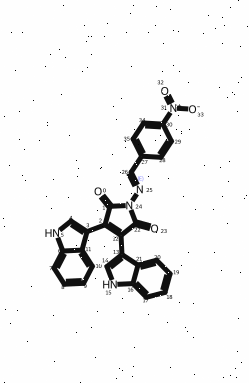 O=C1C(c2c[nH]c3ccccc23)=C(c2c[nH]c3ccccc23)C(=O)N1/N=C/c1ccc([N+](=O)[O-])cc1